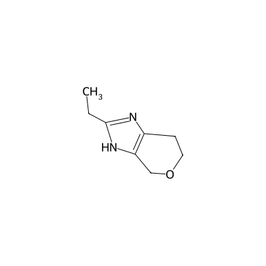 CCc1nc2c([nH]1)COCC2